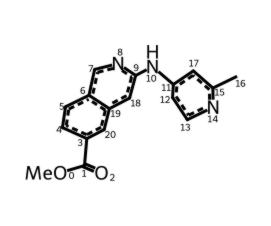 COC(=O)c1ccc2cnc(Nc3ccnc(C)c3)cc2c1